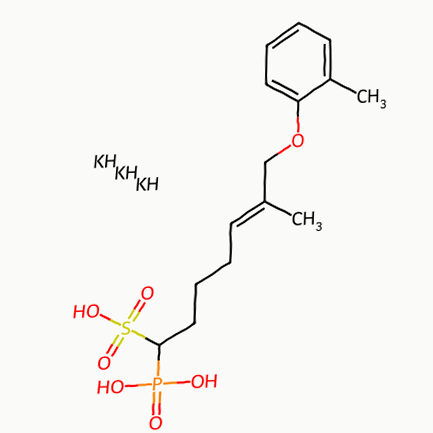 C/C(=C\CCCC(P(=O)(O)O)S(=O)(=O)O)COc1ccccc1C.[KH].[KH].[KH]